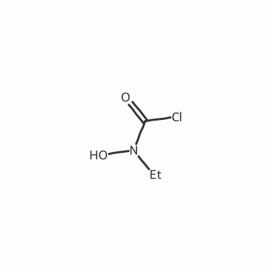 CCN(O)C(=O)Cl